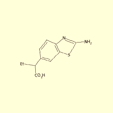 CCC(C(=O)O)c1ccc2nc(N)sc2c1